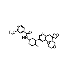 CC1CCC(NC(=O)c2ccnc(C(F)(F)F)c2)C[C@H]1c1cnc2c(c1)N1CCOCC1C1(COC1)C2